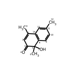 CC1=CC(=O)C(C)(O)c2ccc(C)cc21